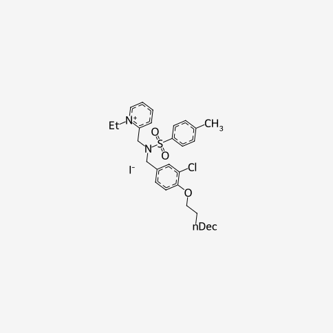 CCCCCCCCCCCCOc1ccc(CN(Cc2cccc[n+]2CC)S(=O)(=O)c2ccc(C)cc2)cc1Cl.[I-]